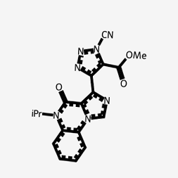 COC(=O)c1c(-c2ncn3c2c(=O)n(C(C)C)c2ccccc23)nnn1C#N